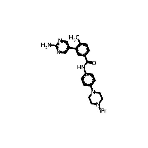 Cc1ccc(C(=O)Nc2ccc(N3CCN(C(C)C)CC3)cc2)cc1-c1cnc(N)nc1